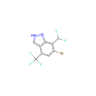 FC(F)c1c(Br)cc(C(F)(F)F)c2c[nH]nc12